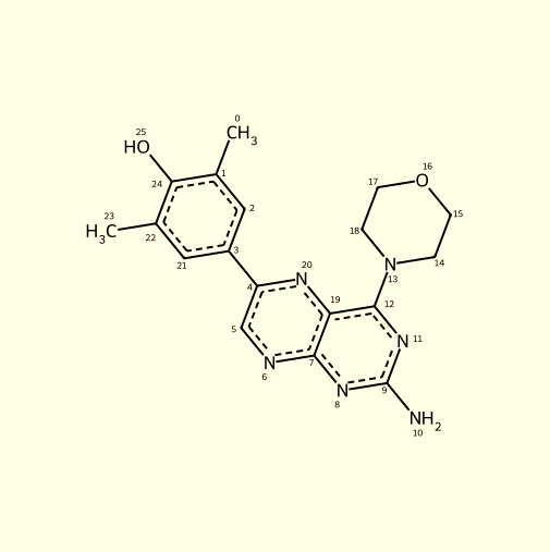 Cc1cc(-c2cnc3nc(N)nc(N4CCOCC4)c3n2)cc(C)c1O